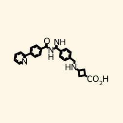 N=C(NC(=O)c1ccc(-c2ccccn2)cc1)c1ccc(CNC2CC(C(=O)O)C2)cc1